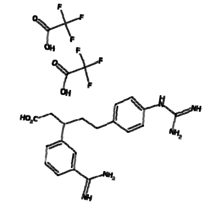 N=C(N)Nc1ccc(CCC(CC(=O)O)c2cccc(C(=N)N)c2)cc1.O=C(O)C(F)(F)F.O=C(O)C(F)(F)F